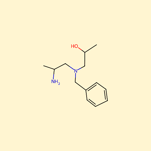 CC(N)CN(Cc1ccccc1)CC(C)O